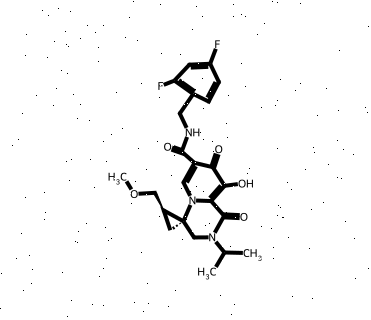 COC[C@@H]1C[C@]12CN(C(C)C)C(=O)c1c(O)c(=O)c(C(=O)NCc3ccc(F)cc3F)cn12